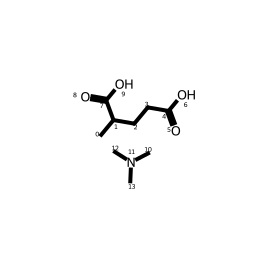 CC(CCC(=O)O)C(=O)O.CN(C)C